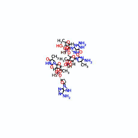 Cc1cn([C@@H]2O[C@]3(COP(=O)(S)OC4[C@@H]5O[C@@H](C)[C@]4(CO)O[C@H]5N4CNc5c4nc(N)[nH]c5=O)C(OP(=O)(S)OC[C@]45O[C@@H](n6cc(C)c(=O)[nH]c6=O)[C@@H](O[C@H]4C)C5OP(=O)(S)OC[C@@H]4CC[C@H](N5CNc6c(N)ncnc65)O4)[C@@H]2O[C@H]3C)c(=O)nc1N